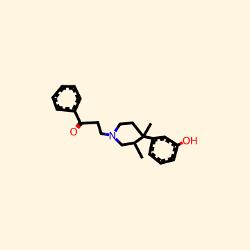 CC1CN(CCC(=O)c2ccccc2)CCC1(C)c1cccc(O)c1